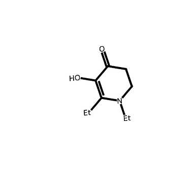 CCC1=C(O)C(=O)CCN1CC